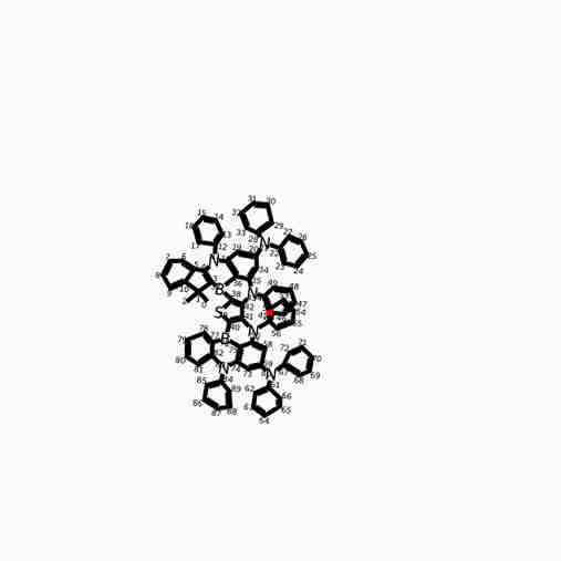 CC1(C)C2=C(c3ccccc31)N(c1ccccc1)c1cc(N(c3ccccc3)c3ccccc3)cc3c1B2c1sc2c(c1N3c1ccccc1)N(c1ccccc1)c1cc(N(c3ccccc3)c3ccccc3)cc3c1B2c1ccccc1N3c1ccccc1